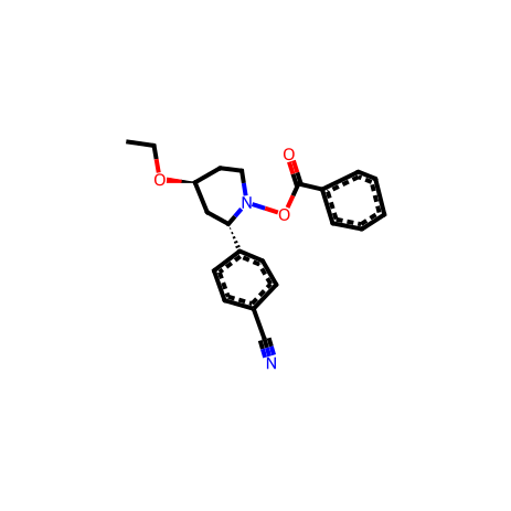 CCO[C@H]1CCN(OC(=O)c2ccccc2)[C@H](c2ccc(C#N)cc2)C1